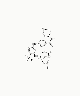 CN1CCC(N(C)C(=O)c2ccc(Nc3ncc(C(F)(F)F)c(N[C@@H]4CC[C@H]5C[C@H]6CC5C[C@H]4C6)n3)cc2)CC1